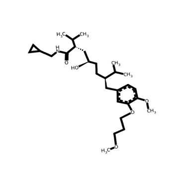 COCCCOc1cc(C[C@@H](CC[C@@H](O)C[C@H](C(=O)NCC2CC2)C(C)C)C(C)C)ccc1OC